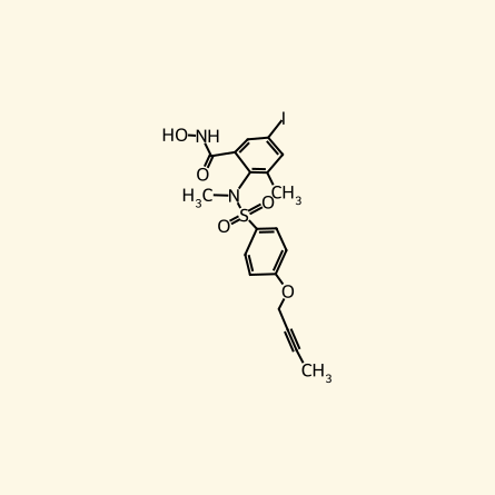 CC#CCOc1ccc(S(=O)(=O)N(C)c2c(C)cc(I)cc2C(=O)NO)cc1